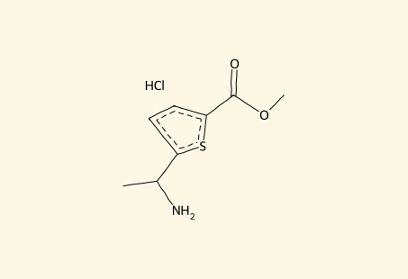 COC(=O)c1ccc(C(C)N)s1.Cl